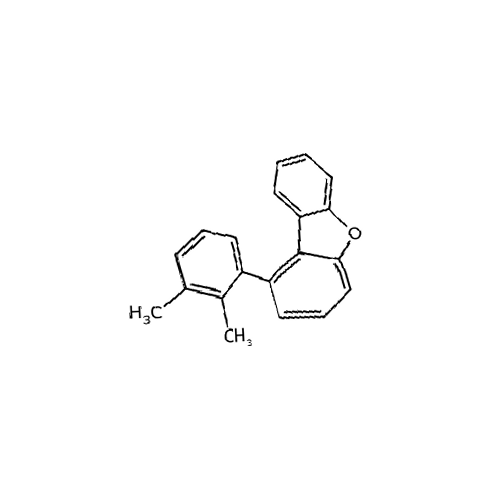 Cc1cccc(-c2cccc3oc4ccccc4c23)c1C